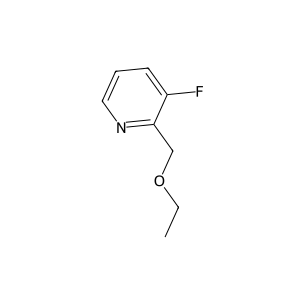 CCOCc1ncccc1F